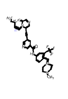 C=C1C=NC=C(C#Cc2cncc(C(=O)Nc3ccc(CN4CCN(C)CC4)c(C(F)(F)F)c3)c2)N1/C=C\CCC